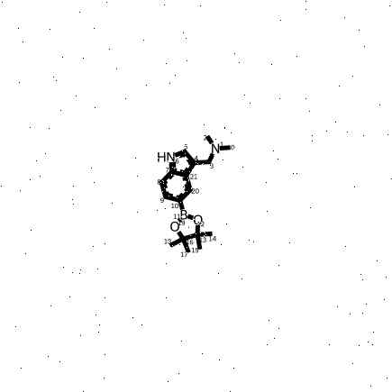 CN(C)Cc1c[nH]c2ccc(B3OC(C)(C)C(C)(C)O3)cc12